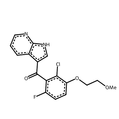 COCCOc1ccc(F)c(C(=O)c2c[nH]c3ncccc23)c1Cl